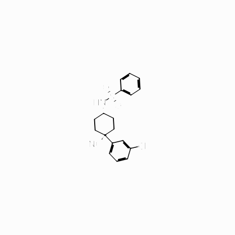 N#C[C@]1(c2cccc(Cl)c2)CC[C@@H](NS(=O)(=O)c2ccccc2)CC1